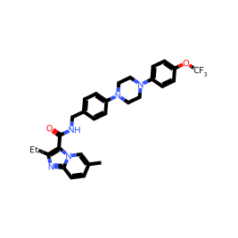 CCc1nc2ccc(C)cn2c1C(=O)NCc1ccc(N2CCN(c3ccc(OC(F)(F)F)cc3)CC2)cc1